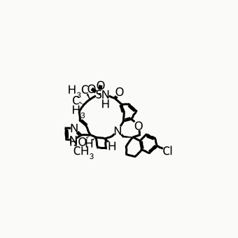 C[C@@H]1[C@@H](C)C/C=C/[C@](O)(c2nccn2C)[C@@H]2CC[C@H]2CN2C[C@@]3(CCCc4cc(Cl)ccc43)COc3ccc(cc32)C(=O)NS1(=O)=O